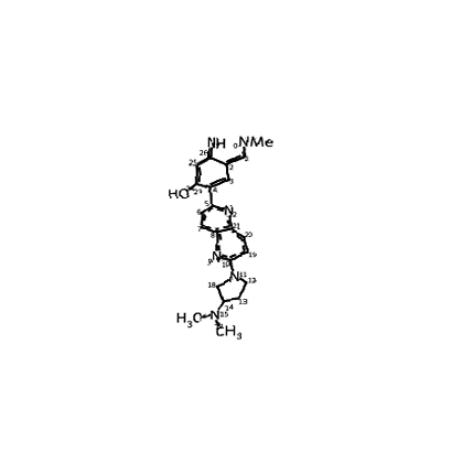 CN/C=C1/C=C(c2ccc3nc(N4CCC(N(C)C)C4)ccc3n2)C(O)=CC1=N